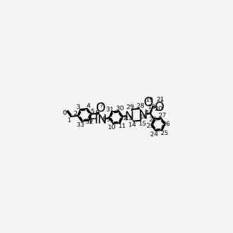 C=Cc1ccc(C(=O)Nc2ccc(N3CCN(C(C(=O)OC)c4ccccc4)CC3)cc2)cc1